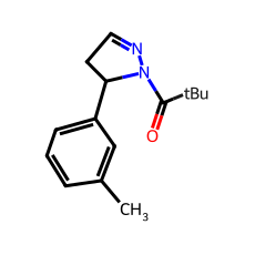 Cc1cccc(C2CC=NN2C(=O)C(C)(C)C)c1